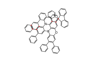 c1ccc(-c2cc3c(cc2-c2ccccc2)B2c4cc(-c5ccccc5)c(-c5ccccc5)cc4N(c4c(-c5ccccc5)cccc4-c4ccccc4)c4cc(C5(c6ccccc6)c6ccccc6-c6ccccc65)cc(c42)O3)cc1